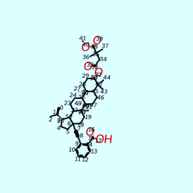 C=C(C)[C@@H]1CCC2(C#Cc3ccccc3C(=O)O)CC[C@]3(C)C(CCC4[C@@]5(C)CC[C@H](OC(=O)CC(C)(C)C(=O)OC)C(C)(C)C5CC[C@]43C)C12